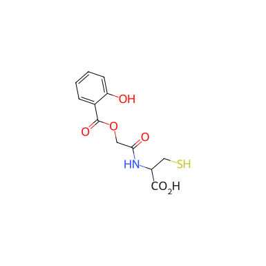 O=C(COC(=O)c1ccccc1O)NC(CS)C(=O)O